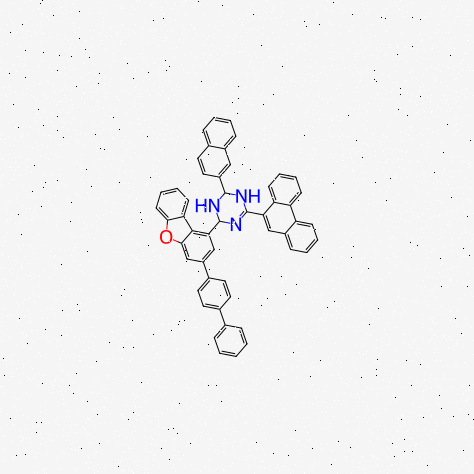 c1ccc(-c2ccc(-c3cc(C4N=C(c5cc6ccccc6c6ccccc56)NC(c5ccc6ccccc6c5)N4)c4c(c3)oc3ccccc34)cc2)cc1